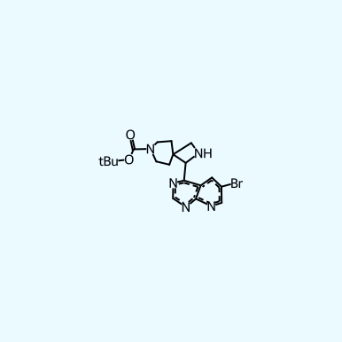 CC(C)(C)OC(=O)N1CCC2(CC1)CNC2c1ncnc2ncc(Br)cc12